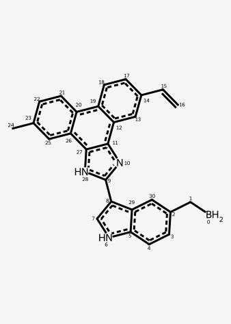 BCc1ccc2[nH]cc(-c3nc4c5cc(C=C)ccc5c5ccc(C)cc5c4[nH]3)c2c1